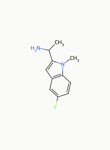 CC(N)c1cc2cc(F)ccc2n1C